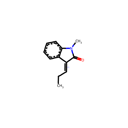 CC/C=C1/C(=O)N(C)c2ccccc21